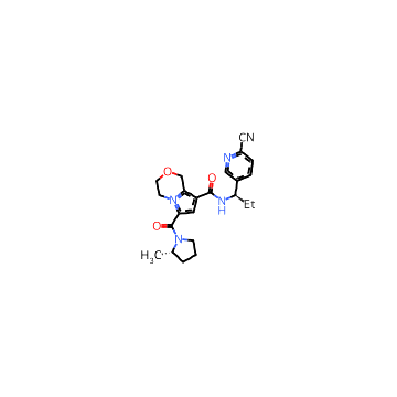 CC[C@@H](NC(=O)c1cc(C(=O)N2CCC[C@@H]2C)n2c1COCC2)c1ccc(C#N)nc1